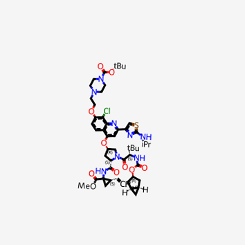 C=C[C@@H]1CC1(NC(=O)[C@@H]1C[C@@H](Oc2cc(-c3csc(NC(C)C)n3)nc3c(Cl)c(OCCN4CCN(C(=O)OC(C)(C)C)CC4)ccc23)CN1C(=O)[C@@H](NC(=O)O[C@@H]1C[C@@H]2C[C@@H]2C1)C(C)(C)C)C(=O)OC